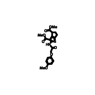 COC(=O)c1c(NC(=O)COc2ccc(OC)cc2)sc2c1C(C(=O)OC)CC2